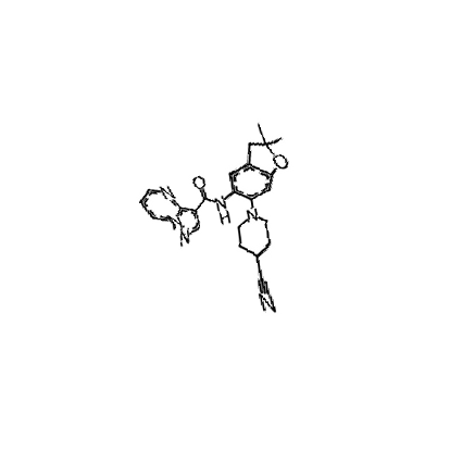 CC1(C)Cc2cc(NC(=O)c3cnn4cccnc34)c(N3CCC(C#N)CC3)cc2O1